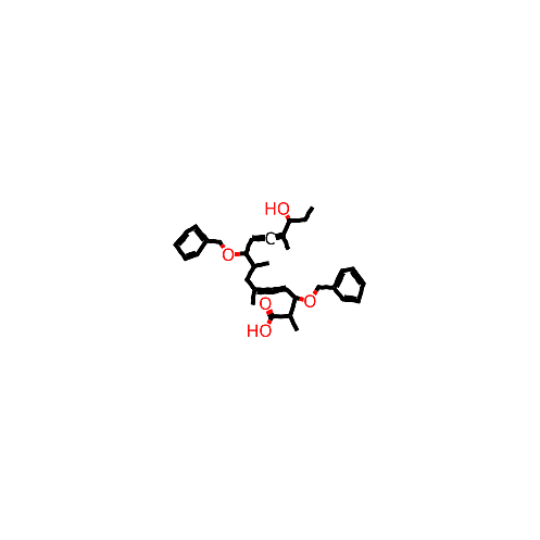 CCC(O)C(C)=C=CC(OCc1ccccc1)C(C)CC(C)=C=CC(OCc1ccccc1)C(C)C(=O)O